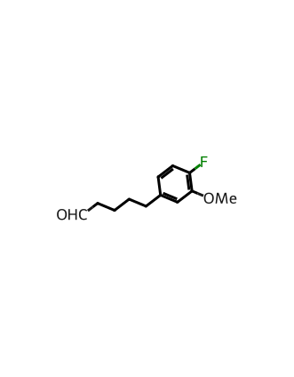 COc1cc(CCCCC=O)ccc1F